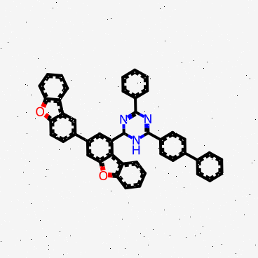 c1ccc(C2=NC(c3cc(-c4ccc5oc6ccccc6c5c4)cc4oc5ccccc5c34)NC(c3ccc(-c4ccccc4)cc3)=N2)cc1